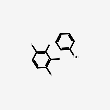 Ic1ccc(I)c(I)c1I.Oc1ccccc1